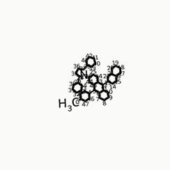 Cc1ccc(-c2c3ccccc3c(-c3ccc4ccccc4c3)c3ccc(-n4c(-c5ccccc5)ccc4-c4ccccc4)cc23)cc1